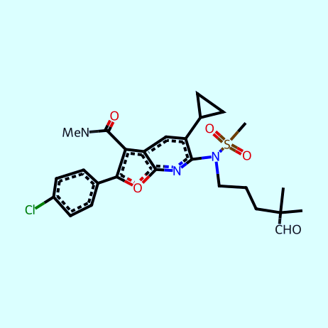 CNC(=O)c1c(-c2ccc(Cl)cc2)oc2nc(N(CCCC(C)(C)C=O)S(C)(=O)=O)c(C3CC3)cc12